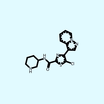 O=C(NC1CCCNC1)c1nc(-c2cnn3ccccc23)c(Cl)s1